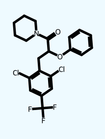 O=C(C(Cc1c(Cl)cc(C(F)(F)F)cc1Cl)Oc1ccccc1)N1CCCCC1